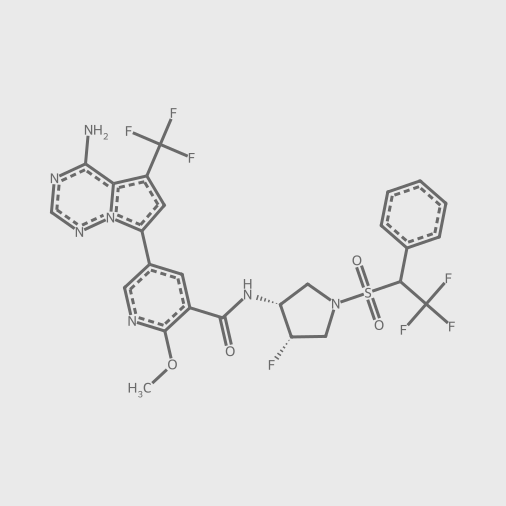 COc1ncc(-c2cc(C(F)(F)F)c3c(N)ncnn23)cc1C(=O)N[C@@H]1CN(S(=O)(=O)C(c2ccccc2)C(F)(F)F)C[C@@H]1F